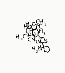 CC(C)(C)c1cc(-c2csc(C3(N)CCCC3)n2)cc(C(C)(C)C)c1O